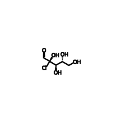 O=C[C@@](O)(Cl)[C@H](O)[C@H](O)CO